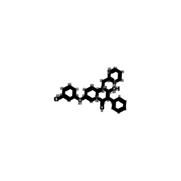 O=c1c(-c2ccccc2)c(O)[n+](Cc2ncccn2)c2ccc(Oc3cccc(Cl)c3)cn12